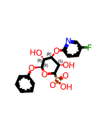 O=S(=O)(O)C1O[C@@H](Oc2ccccc2)[C@H](O)[C@@H](Oc2ccc(F)cn2)[C@@H]1O